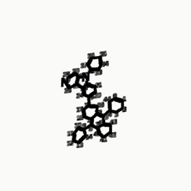 C1=CCCC(c2c3c(c(-c4ccccc4)c4ccc(-c5ccc6c(c5)c5cnccc5n6-c5ccccc5)cc24)=CCCC=3)=C1